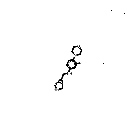 Fc1cc(NCC2C3CNCC32)ccc1N1CCOCC1